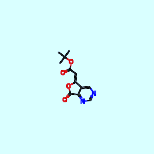 CC(C)(C)OC(=O)C=C1OC(=O)c2ncncc21